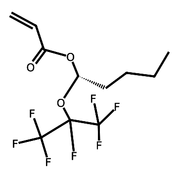 C=CC(=O)O[C@H](CCCC)OC(F)(C(F)(F)F)C(F)(F)F